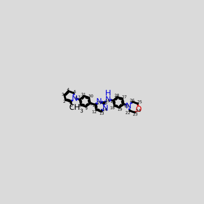 CC1=CC=CCN1c1ccc(-c2ccnc(Nc3ccc(N4CCOCC4)cc3)n2)cc1